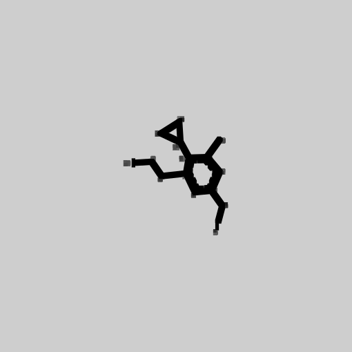 Cc1cc(CI)cc(CCI)c1C1CC1